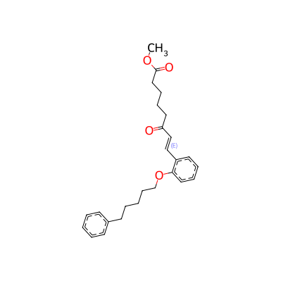 COC(=O)CCCCC(=O)/C=C/c1ccccc1OCCCCCc1ccccc1